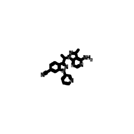 Cc1nn(C(C)c2nn(-c3cccnc3)c3cc(C#N)ccc23)c2ncnc(N)c12